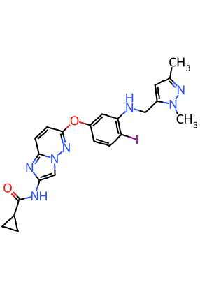 Cc1cc(CNc2cc(Oc3ccc4nc(NC(=O)C5CC5)cn4n3)ccc2I)n(C)n1